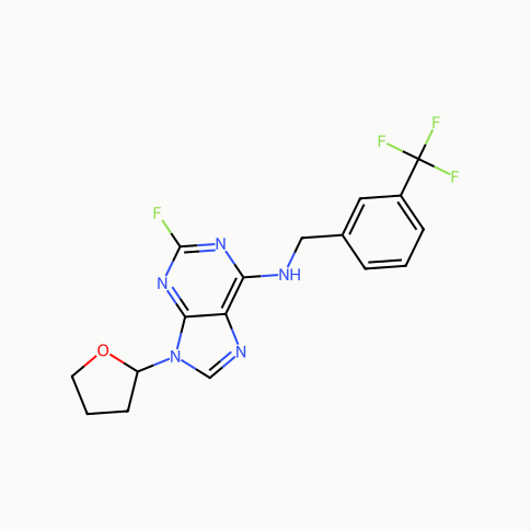 Fc1nc(NCc2cccc(C(F)(F)F)c2)c2ncn(C3CCCO3)c2n1